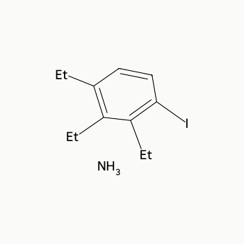 CCc1ccc(I)c(CC)c1CC.N